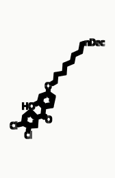 CCCCCCCCCCCCCCCCCCOc1ccc(C(=O)c2ccc(Cl)c(Cl)c2)c(O)c1